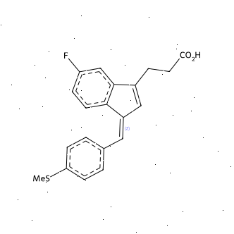 CSc1ccc(/C=C2/C=C(CCC(=O)O)c3cc(F)ccc32)cc1